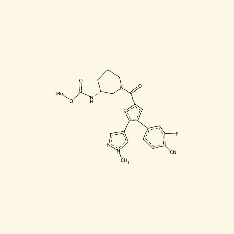 Cn1cc(-c2sc(C(=O)N3CCC[C@@H](NC(=O)OC(C)(C)C)C3)cc2-c2ccc(C#N)c(F)c2)cn1